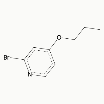 CCCOc1ccnc(Br)c1